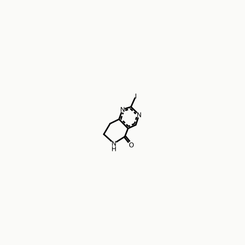 O=C1NCCc2nc(I)ncc21